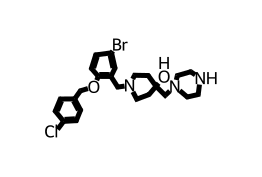 OC1(CN2CCNCC2)CCN(Cc2cc(Br)ccc2OCc2ccc(Cl)cc2)CC1